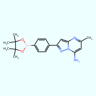 Cc1cc(N)n2nc(-c3ccc(B4OC(C)(C)C(C)(C)O4)cc3)cc2n1